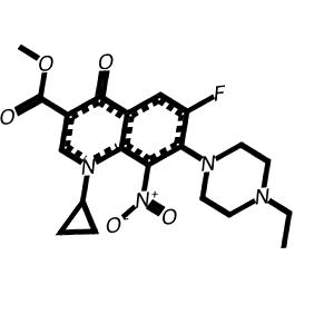 CCN1CCN(c2c(F)cc3c(=O)c(C(=O)OC)cn(C4CC4)c3c2[N+](=O)[O-])CC1